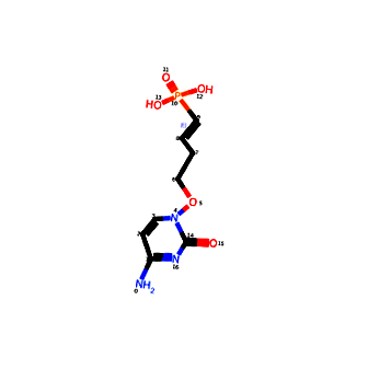 Nc1ccn(OCC/C=C/P(=O)(O)O)c(=O)n1